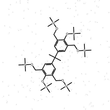 CC(C)(c1cc(CO[Si](C)(C)C)c(O[Si](C)(C)C)c(CO[Si](C)(C)C)c1)c1cc(CO[Si](C)(C)C)c(O[Si](C)(C)C)c(CO[Si](C)(C)C)c1